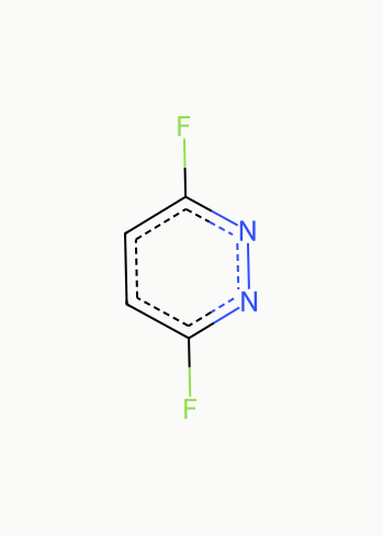 Fc1ccc(F)nn1